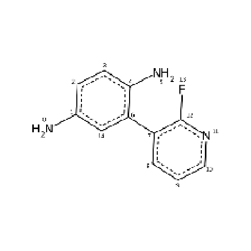 Nc1ccc(N)c(-c2cccnc2F)c1